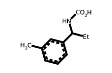 CCC(NC(=O)O)c1cccc(C)c1